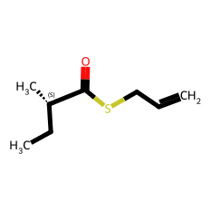 C=CCSC(=O)[C@@H](C)CC